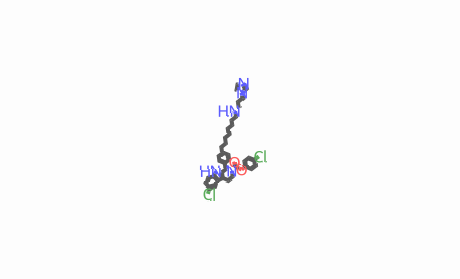 O=C(Oc1ccc(Cl)cc1)N1CCc2c([nH]c3ccc(Cl)cc23)C1c1ccc(CCCCCCCCNCCCn2ccnc2)cc1